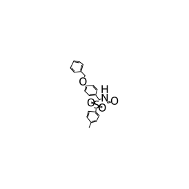 Cc1ccc(S(=O)(=O)C(NC=O)c2ccc(OCc3ccccc3)cc2)cc1